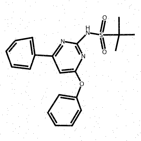 CC(C)(C)S(=O)(=O)Nc1nc(Oc2ccccc2)cc(-c2ccccc2)n1